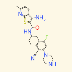 Cc1ccc2c(N)c(C(=O)N[C@@H]3CCc4c(C#N)c(N5CCNCC5)cc(F)c4C3)sc2n1